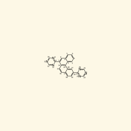 c1ccc2c(c1)cc(-c1ncncn1)c1ccc3ccc(-c4ncncn4)cc3c12